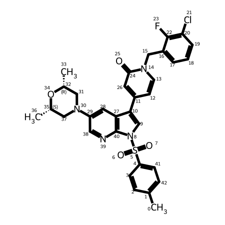 Cc1ccc(S(=O)(=O)n2cc(-c3ccn(Cc4cccc(Cl)c4F)c(=O)c3)c3cc(N4C[C@@H](C)O[C@@H](C)C4)cnc32)cc1